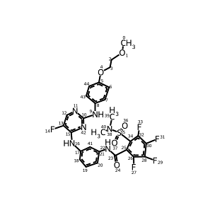 COCCOc1ccc(Nc2ncc(F)c(Nc3cccc(NC(=O)c4c(F)c(F)c(F)c(F)c4S(=O)(=O)N(C)C)c3)n2)cc1